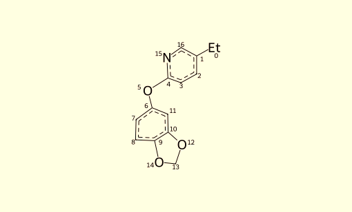 CCc1ccc(Oc2ccc3c(c2)OCO3)nc1